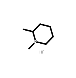 CC1CCCCN1C.F